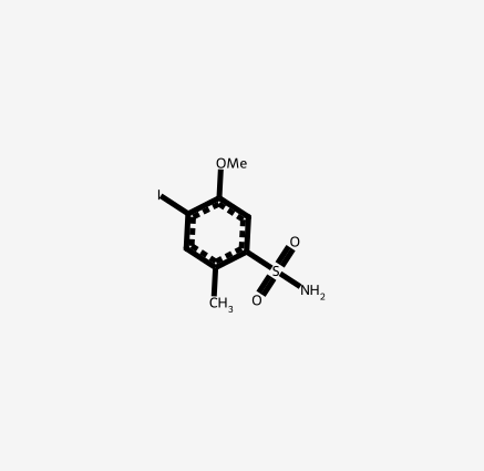 COc1cc(S(N)(=O)=O)c(C)cc1I